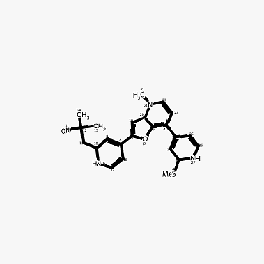 CSC1C=C(C2=C3OC(C4=CC(CC(C)(C)N=O)NC=C4)=CC3N(C)C=C2)C=CN1